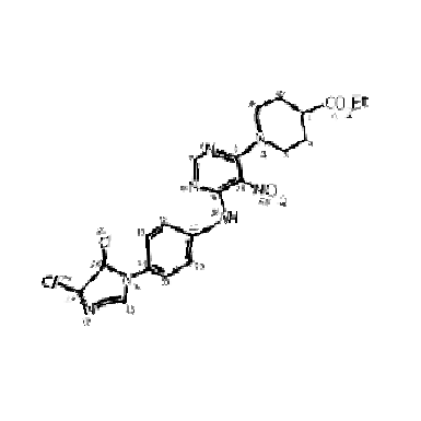 CCOC(=O)C1CCN(c2ncnc(Nc3ccc(N4C=NC(Cl)C4Cl)cc3)c2[N+](=O)[O-])CC1